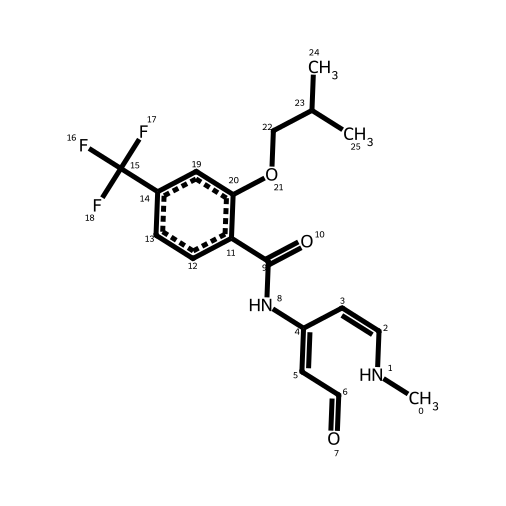 CN/C=C\C(=C/C=O)NC(=O)c1ccc(C(F)(F)F)cc1OCC(C)C